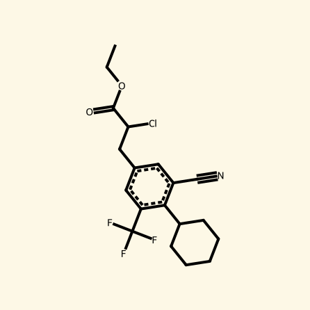 CCOC(=O)C(Cl)Cc1cc(C#N)c(C2CCCCC2)c(C(F)(F)F)c1